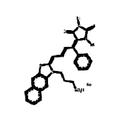 CCN1C(=O)C(=C(C=CC=C2Sc3cc4ccccc4cc3N2CCCS(=O)(=O)O)c2ccccc2)N(CC)C1=S.[Na]